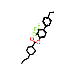 CCCC1CCC(C(=O)OC2=CC=C(c3ccc(CC)cc3)C(F)(F)C2(F)F)CC1